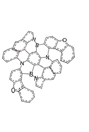 c1ccc(N2c3ccc4oc5ccccc5c4c3B3c4c(c5c6c(c42)-c2cccc4ccn(c24)B6c2ccc4oc6ccccc6c4c2N5c2ccccc2)-c2cccc4ccn3c24)cc1